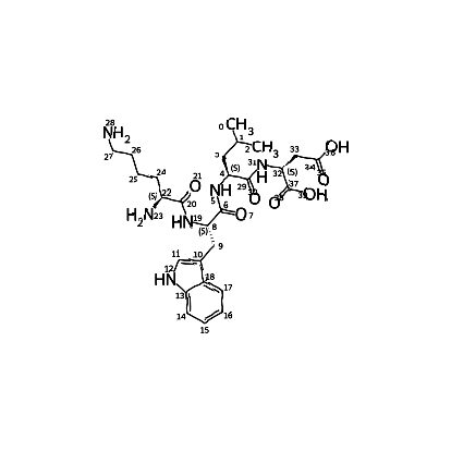 CC(C)C[C@H](NC(=O)[C@H](Cc1c[nH]c2ccccc12)NC(=O)[C@@H](N)CCCCN)C(=O)N[C@@H](CC(=O)O)C(=O)O